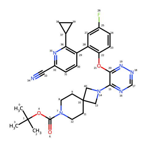 CC(C)(C)OC(=O)N1CCC2(CC1)CN(c1ncnnc1Oc1ccc(F)cc1-c1ccc(C#N)nc1C1CC1)C2